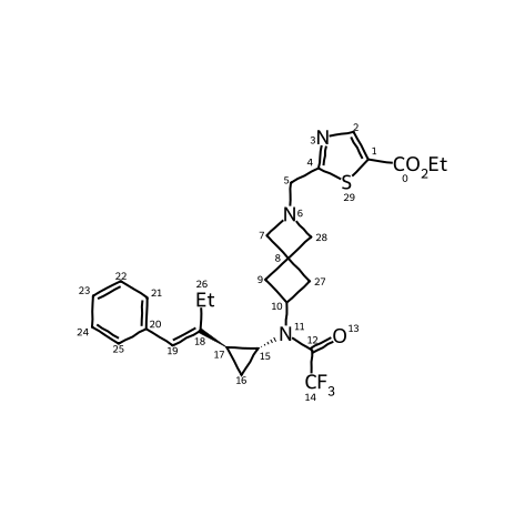 CCOC(=O)c1cnc(CN2CC3(CC(N(C(=O)C(F)(F)F)[C@@H]4C[C@H]4/C(=C/c4ccccc4)CC)C3)C2)s1